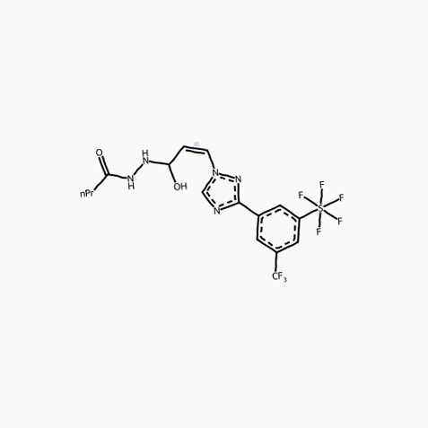 CCCC(=O)NNC(O)/C=C\n1cnc(-c2cc(C(F)(F)F)cc(S(F)(F)(F)(F)F)c2)n1